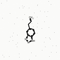 C=CCc1ccc2[nH]nnc2c1